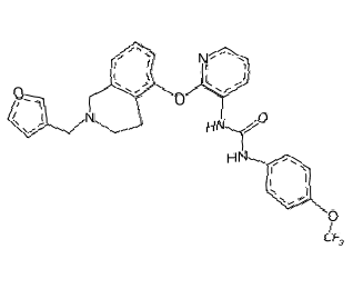 O=C(Nc1ccc(OC(F)(F)F)cc1)Nc1cccnc1Oc1cccc2c1CCN(Cc1ccoc1)C2